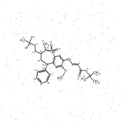 CSc1cc2c(cc1O/C=C/C(=O)OC(C)(C)C)S(=O)(=O)N(C)C(CCC(C)(F)F)CN2c1ccccc1